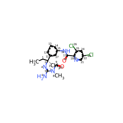 CC[C@](C)(/N=C(/N)N(C)C=O)c1cccc(NC(=O)c2ncc(Cl)cc2Cl)c1